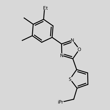 CCc1cc(-c2noc(-c3ccc(CC(C)C)s3)n2)cc(C)c1C